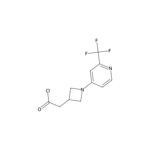 O=C(Cl)CC1CN(c2ccnc(C(F)(F)F)c2)C1